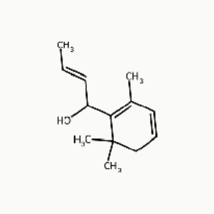 CC=CC(O)C1=C(C)C=CCC1(C)C